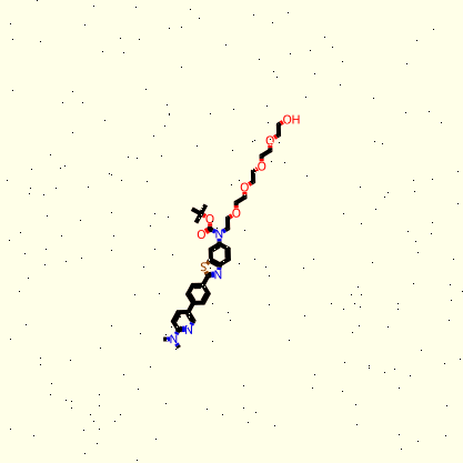 CN(C)c1ccc(-c2ccc(-c3nc4ccc(N(CCOCCOCCOCCOCCO)C(=O)OC(C)(C)C)cc4s3)cc2)cn1